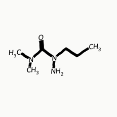 CCCN(N)C(=O)N(C)C